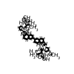 COC[C@H]1C[C@@H](c2nc3ccc4cc(-c5ccc6c(ccc7nc([C@@H]8CCCN8C(=O)[C@@H](NC(=O)OC)C(C)C)[nH]c76)c5)ccc4c3[nH]2)N(C(=O)[C@@H](NC(=O)O)C(C)C)C1